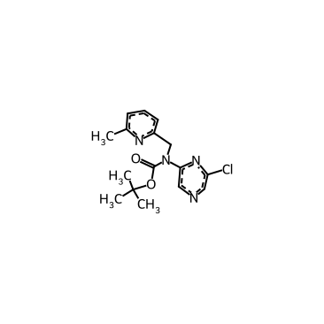 Cc1cccc(CN(C(=O)OC(C)(C)C)c2cncc(Cl)n2)n1